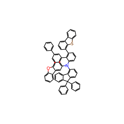 c1ccc(-c2cccc(-c3c(-c4cccc5c4sc4ccccc45)cccc3N(c3ccc4oc5ccccc5c4c3)c3cccc4c3-c3ccccc3C4(c3ccccc3)c3ccccc3)c2)cc1